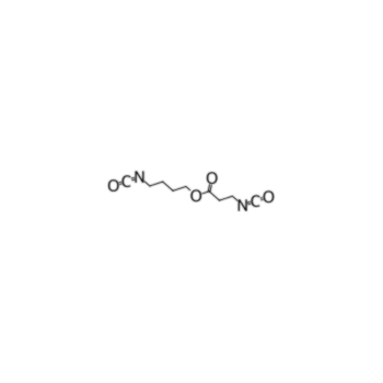 O=C=NCCCCOC(=O)CCN=C=O